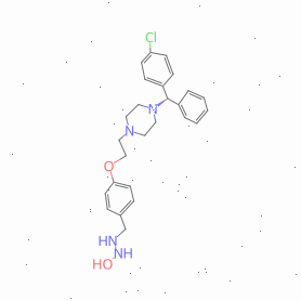 ONNCc1ccc(OCCN2CCN([C@H](c3ccccc3)c3ccc(Cl)cc3)CC2)cc1